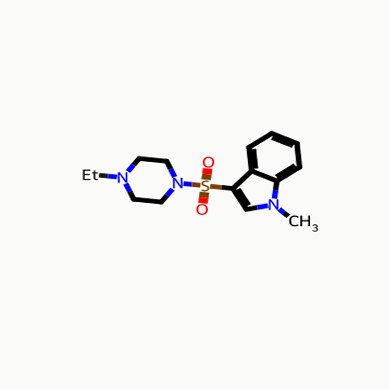 CCN1CCN(S(=O)(=O)c2cn(C)c3ccccc23)CC1